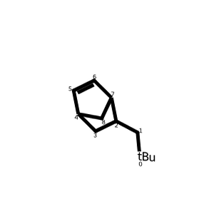 CC(C)(C)CC1CC2C=CC1C2